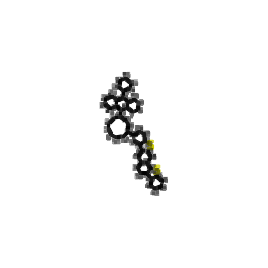 c1cccc(-c2c3ccccc3c(-c3ccccc3)c3ccccc23)ccc(-c2ccc3sc4cc5c(ccc6c7ccccc7sc56)cc4c3c2)cc1